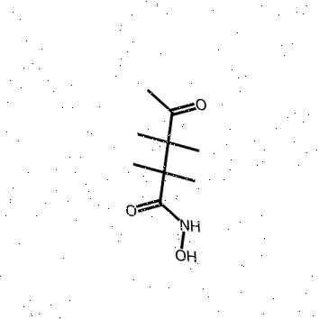 CC(=O)C(C)(C)C(C)(C)C(=O)NO